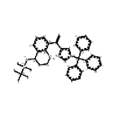 C=C(c1cn(C(c2ccccc2)(c2ccccc2)c2ccccc2)cn1)c1cccc2c1OCCC2O[Si](C)(C)C(C)(C)C